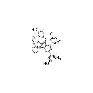 CN/C(=N\OO)c1nc2c(c(-c3cc(Cl)nc(Cl)c3)n1)N(C[C@H]1CC[C@H](C)CC1)[C@H](N1CCOC[C@H]1C1=CC=CCC1)N2